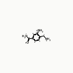 NCc1ccc(C(N)=O)cc1N